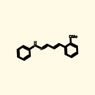 COc1ccccc1/C=C/C=N/Nc1ccccc1